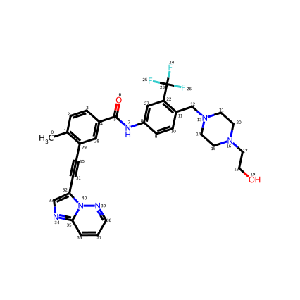 Cc1ccc(C(=O)Nc2ccc(CN3CCN(CCO)CC3)c(C(F)(F)F)c2)cc1C#Cc1cnc2cccnn12